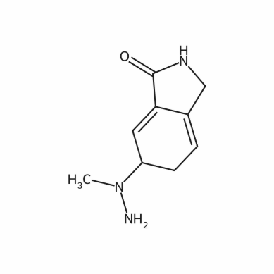 CN(N)C1C=C2C(=O)NCC2=CC1